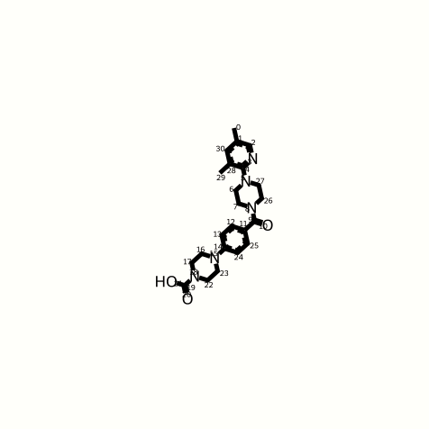 Cc1cnc(N2CCN(C(=O)c3ccc(N4CCN(C(=O)O)CC4)cc3)CC2)c(C)c1